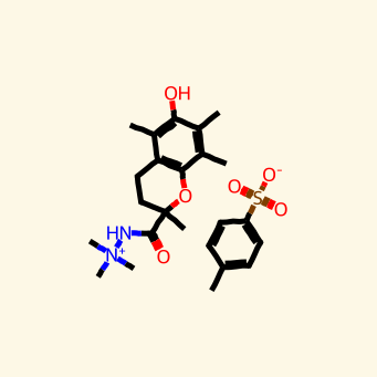 Cc1c(C)c2c(c(C)c1O)CCC(C)(C(=O)N[N+](C)(C)C)O2.Cc1ccc(S(=O)(=O)[O-])cc1